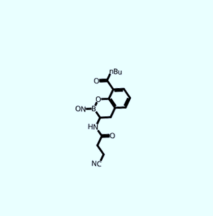 CCCCC(=O)c1cccc2c1OB(N=O)C(NC(=O)CCC#N)C2